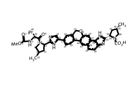 COC(=O)N[C@H](C(=O)N1CC(C)CC1c1ncc(-c2ccc3c(c2)COc2cc4c(ccc5nc([C@@H]6C[C@H](C)CN6C(=O)O)[nH]c54)cc2-3)[nH]1)C(C)C